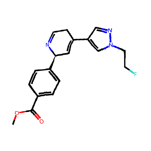 COC(=O)c1ccc([C@@H]2C=C(c3cnn(CCF)c3)CC=N2)cc1